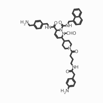 NCc1ccc(CNC(=O)C2C=CC(C3CCN(C(=O)CCCNC(=O)Cc4ccc(N)cc4)CC3)N(C=O)N2C(=O)NCc2cccc3ccccc23)cc1